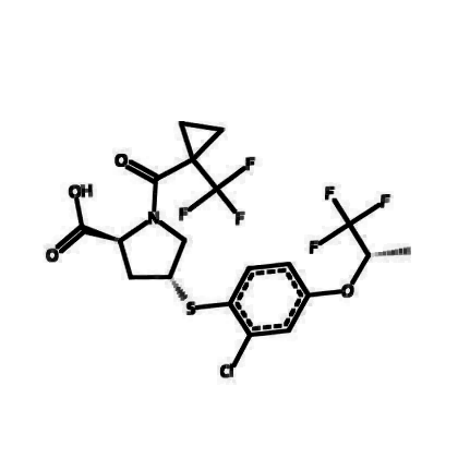 C[C@H](Oc1ccc(S[C@@H]2C[C@@H](C(=O)O)N(C(=O)C3(C(F)(F)F)CC3)C2)c(Cl)c1)C(F)(F)F